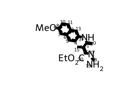 C=C(Nc1ccc2cc(OC)ccc2c1)/C(C)=C(\N=C/N)C(=O)OCC